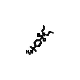 CCCN(CCC)S(=O)(=O)c1ccc(C(C)(C)N)cc1